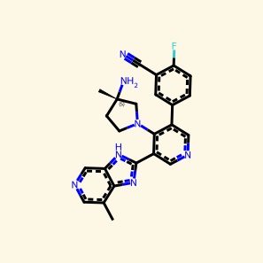 Cc1cncc2[nH]c(-c3cncc(-c4ccc(F)c(C#N)c4)c3N3CC[C@](C)(N)C3)nc12